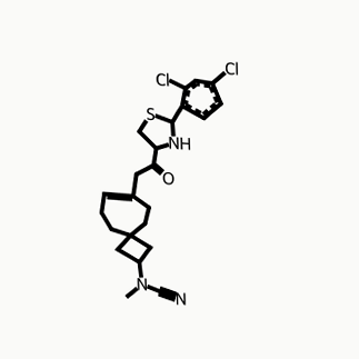 CN(C#N)C1CC2(CCC=C(CC(=O)C3CSC(c4ccc(Cl)cc4Cl)N3)CC2)C1